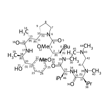 CC[C@H](C)[C@@H]([C@@H](CC(=O)N1CCC[C@H]1[C@H](OC)[C@@H](C)C(=O)N[C@H](C)[C@@H](O)c1ccccc1)OC)N(C)C(=O)[C@@H](NC(=O)[C@H](C(C)C)N(C)CCN(C)C)C(C)C